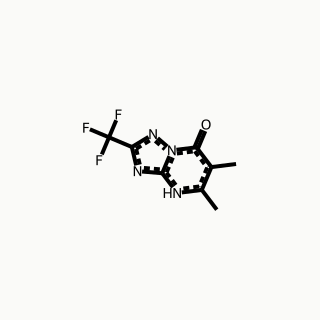 Cc1[nH]c2nc(C(F)(F)F)nn2c(=O)c1C